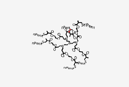 CCCCCSCC(C)C(=O)OCCOC(=O)CCN(CCC(=O)OCCOC(=O)C(C)CSCCCCC)CCN(CCN(CCC(=O)OCCOC(=O)C(C)CSCCCCC)CCC(=O)OCCOC(=O)C(C)CSCCCCC)CCN(CCC(=O)OCCOC(=O)C(C)CSCCCCC)CCC(=O)OCCOC(=O)C(C)CSCCCCC